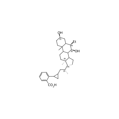 CC[C@@H]1C2C[C@H](O)CCC2(C)C2CC[C@@]3(C)C(CC[C@@H]3[C@H](C)CC3CC3c3ccccc3C(=O)O)C2[C@@H]1O